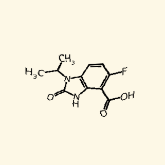 CC(C)n1c(=O)[nH]c2c(C(=O)O)c(F)ccc21